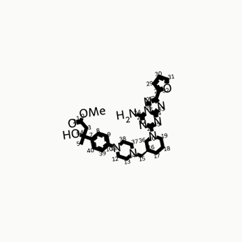 COC(=O)CC(C)(O)c1ccc(N2CCN(C[C@@H]3CCCN(c4nc(N)n5nc(-c6ccco6)nc5n4)C3)CC2)cc1